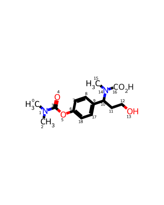 CN(C)C(=O)Oc1ccc(C(CCO)N(C)C(=O)O)cc1